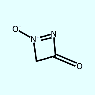 O=C1C[N+]([O-])=N1